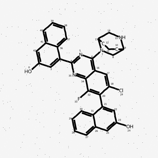 Oc1cc(-c2nc(N3CC4CCCC3CN4)c3cc(Cl)c(-c4cc(O)cc5ccccc45)c(F)c3n2)c2ccccc2c1